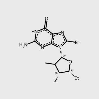 CC[C@H]1O[C@@H](n2c(Br)nc3c(=O)[nH]c(N)nc32)C(C)[C@H]1C